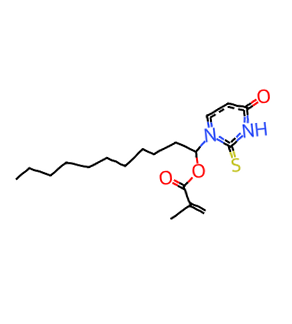 C=C(C)C(=O)OC(CCCCCCCCCC)n1ccc(=O)[nH]c1=S